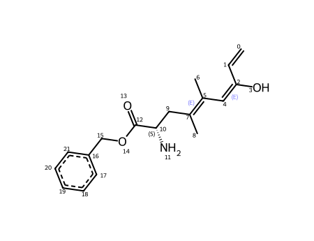 C=C/C(O)=C\C(C)=C(/C)C[C@H](N)C(=O)OCc1ccccc1